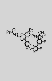 CCN1CCC([C@@H](OC(=O)COCC(=O)C(C)C)c2ccc(Nc3ncc(F)c(-c4cc(F)c5nc(C)n(C(C)C)c5c4)n3)nc2)CC1